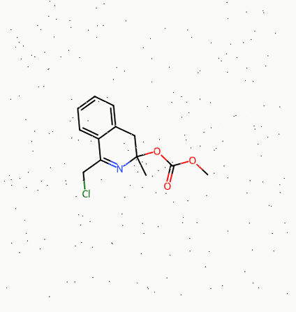 COC(=O)OC1(C)Cc2ccccc2C(CCl)=N1